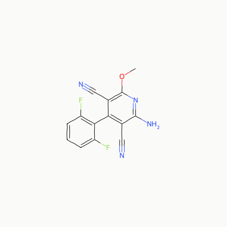 COc1nc(N)c(C#N)c(-c2c(F)cccc2F)c1C#N